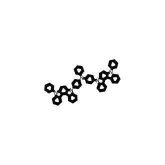 c1ccc(N(c2ccc(-n3c4ccccc4c4c5c6ccccc6n(-c6ccccc6)c5ccc43)cc2)c2ccc(-n3c4ccccc4c4c5c6ccccc6n(-c6ccccc6)c5ccc43)cc2)cc1